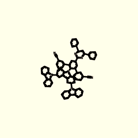 N#Cc1cccc(-c2cc(-c3nc(-c4ccccc4)cc(-c4ccccc4)n3)cc(-c3cccc(C#N)c3)c2-n2c3ccc(-n4c5ccccc5c5ccccc54)cc3c3cc(-n4c5ccccc5c5ccccc54)ccc32)c1